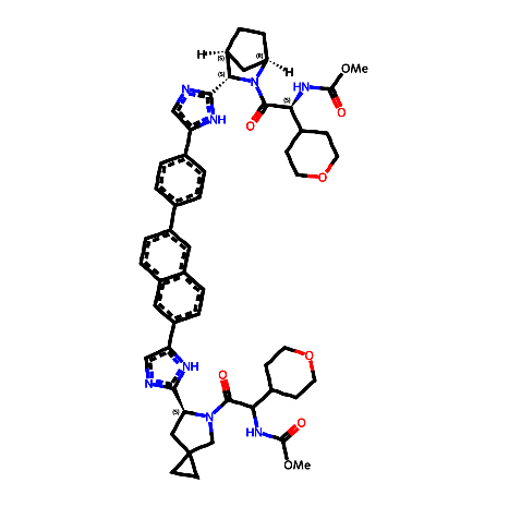 COC(=O)NC(C(=O)N1CC2(CC2)C[C@H]1c1ncc(-c2ccc3cc(-c4ccc(-c5cnc([C@@H]6[C@H]7CC[C@H](C7)N6C(=O)[C@@H](NC(=O)OC)C6CCOCC6)[nH]5)cc4)ccc3c2)[nH]1)C1CCOCC1